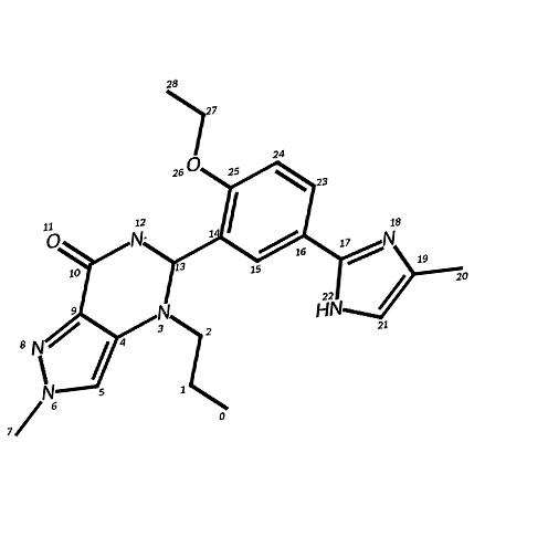 CCCN1c2cn(C)nc2C(=O)[N]C1c1cc(-c2nc(C)c[nH]2)ccc1OCC